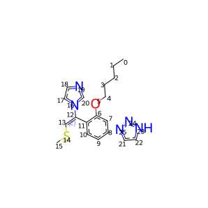 CCCCCOc1ccccc1/C(=C\SC)n1ccnc1.c1c[nH]nn1